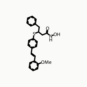 COc1ccccc1/C=C/c1ccc(SC(CC(=O)NO)Cc2ccccc2)cc1